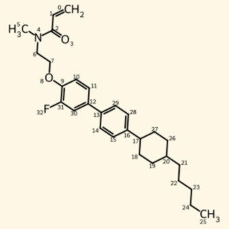 C=CC(=O)N(C)CCOc1ccc(-c2ccc(C3CCC(CCCCC)CC3)cc2)cc1F